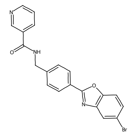 O=C(NCc1ccc(-c2nc3cc(Br)ccc3o2)cc1)c1cccnc1